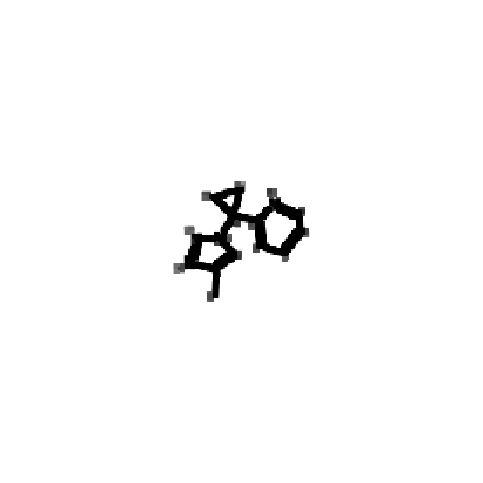 Cc1cn(C2(c3ccccn3)CC2)nn1